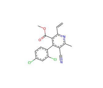 C=Cc1nc(C)c(C#N)c(-c2ccc(Cl)cc2Cl)c1C(=O)OC